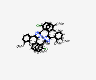 COc1cccc(-c2nc(-c3ccccc3Cl)n(-n3c(-c4ccccc4Cl)nc(-c4cccc(OC)c4OC)c3-c3cccc(OC)c3OC)c2-c2cccc(OC)c2OC)c1OC